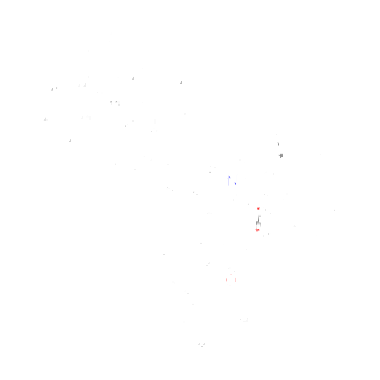 c1ccc(-c2cccc3cccc(-c4ccccc4N(c4ccc(-c5ccc6c(c5)C(c5ccccc5)(c5ccccc5)c5ccccc5-6)cc4)c4cccc(-c5cccc6c5oc5ccccc56)c4)c23)cc1